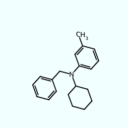 Cc1cccc(N(Cc2ccccc2)C2CCCCC2)c1